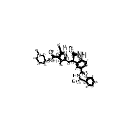 CC[C@@H](NC(=O)c1ccc2c(c1)C(=Cc1[nH]c(C)c(C(=O)N[C@H]3CCCN(C)C3)c1C)C(=O)N2)c1ccccc1